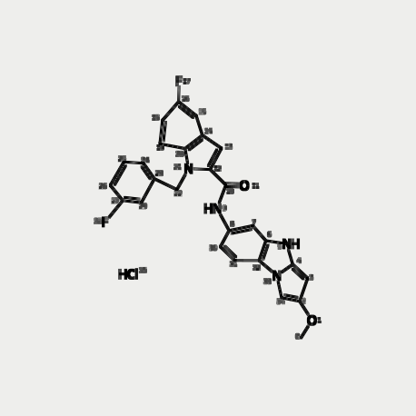 COc1cc2[nH]c3cc(NC(=O)c4cc5cc(F)ccc5n4Cc4cccc(F)c4)ccc3n2c1.Cl